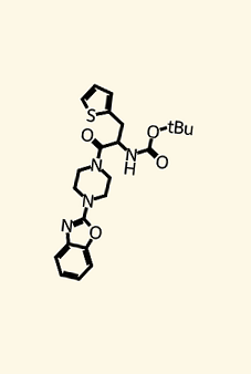 CC(C)(C)OC(=O)NC(Cc1cccs1)C(=O)N1CCN(c2nc3ccccc3o2)CC1